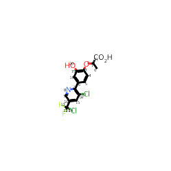 CC(Oc1ccc(-c2ncc(C(F)(F)Cl)cc2Cl)cc1O)C(=O)O